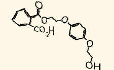 O=C(O)c1ccccc1C(=O)OCCOc1ccc(OCCO)cc1